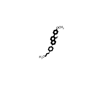 CCCC[C@H]1CC[C@H](c2ccc3c(F)c(-c4ccc(OC)cc4)ccc3c2)CC1